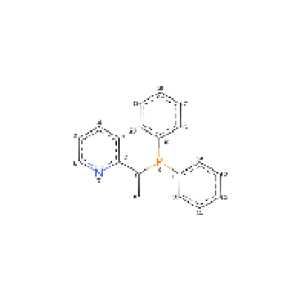 CC(c1ccccn1)P(c1ccccc1)c1ccccc1